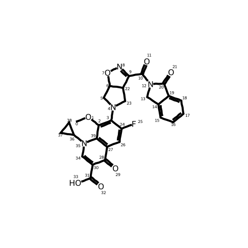 COc1c(N2CC3ON=C(C(=O)N4Cc5ccccc5C4=O)C3C2)c(F)cc2c(=O)c(C(=O)O)cn(C3CC3)c12